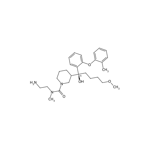 COCCCC[C@@](O)(c1ccccc1Oc1ccccc1C)C1CCCN(C(=O)N(C)CCN)C1